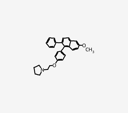 COc1ccc2c(-c3ccc(OCCN4CCCC4)cc3)c(-c3ccccc3)ccc2c1